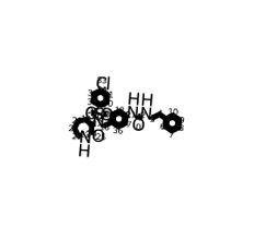 O=C(NCCc1ccccc1)Nc1ccc(CN([C@@H]2CCCCNC2=O)S(=O)(=O)c2ccc(Cl)cc2)cc1